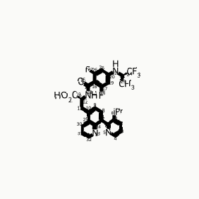 CC(C)c1cccnc1-c1ccc(C[C@H](NC(=O)c2c(F)cc(N[C@H](C)C(F)(F)F)cc2F)C(=O)O)c2cccnc12